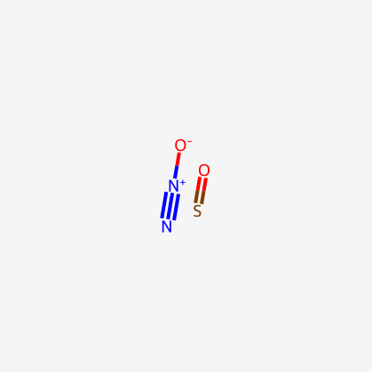 N#[N+][O-].O=S